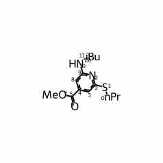 CCCSc1cc(C(=O)OC)cc(N[C@@H](C)CC)n1